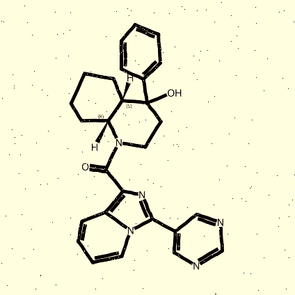 O=C(c1nc(-c2cncnc2)n2ccccc12)N1CCC(O)(c2ccccc2)[C@H]2CCCC[C@H]21